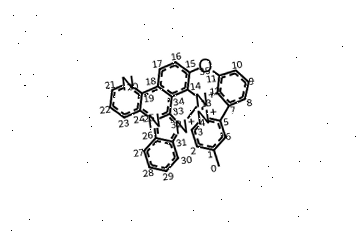 Cc1cc[n+]2c(c1)-c1cccc3c1[N+]21c2c(ccc4c5ncccc5n5c6ccccc6[n+]1c5c24)O3